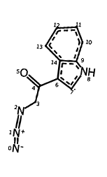 [N-]=[N+]=NCC(=O)c1[c][nH]c2ccccc12